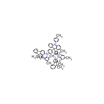 Cc1ccc(N2c3ccccc3C(c3ccc(N(c4ccc5c(c4)C(C)(C)c4ccccc4-5)c4c(C)cc(C)cc4C)cc3)(c3ccc(N(c4ccc5c(c4)C(C)(C)c4ccccc4-5)c4c(C)cc(C)cc4C)cc3)c3cc(C)ccc32)cc1